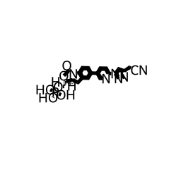 N#CCc1cn(-c2ccc(-c3ccc4c(c3)C[C@H]3[C@H](CO[PH](O)(O)O)OC(=O)N43)cn2)nn1